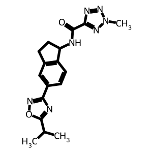 CC(C)c1nc(-c2ccc3c(c2)CCC3NC(=O)c2nnn(C)n2)no1